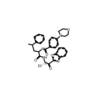 CC[C@H](NC(=O)C(CC(C)c1ccccc1)NC(=O)c1ccc(N2CCOCC2)cc1)C(=O)c1nc2ccccc2o1